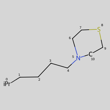 CC(C)CCCCN1CCSCC1